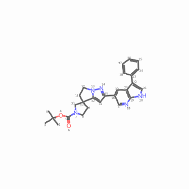 CC(C)(C)OC(=O)N1CCC2(CCn3nc(-c4cnc5[nH]cc(-c6ccccc6)c5c4)cc32)C1